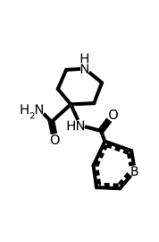 NC(=O)C1(NC(=O)c2cbccc2)CCNCC1